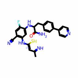 CC(=N)/C=C(\S)Nc1cc(NC(Cc2ccc(-c3ccncc3)cc2)C(N)=O)c(F)cc1C#N